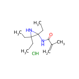 C=C(C)C(=O)NC1(CC)NC1(CC)CC.Cl